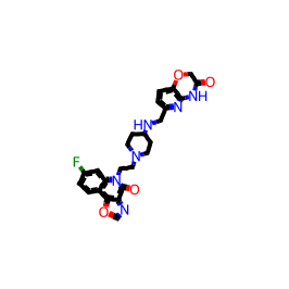 O=C1COc2ccc(CNC3CCN(CCn4c(=O)c5ncoc5c5ccc(F)cc54)CC3)nc2N1